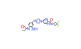 CC/C(C=O)=N/c1ccc(CN2CCN(c3ccc(C(=O)NC4CC(F)(F)C4)nc3)CC2)cc1NC